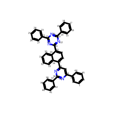 c1ccc(-c2cc(-c3ccc(-c4nc(-c5ccccc5)nc(-c5ccccc5)n4)c4ccccc34)nc(-c3ccccc3)n2)cc1